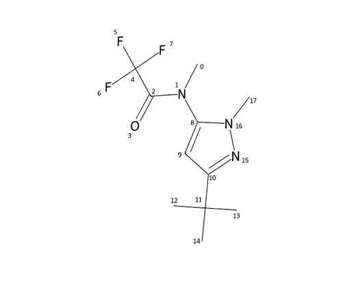 CN(C(=O)C(F)(F)F)c1cc(C(C)(C)C)nn1C